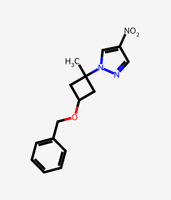 CC1(n2cc([N+](=O)[O-])cn2)CC(OCc2ccccc2)C1